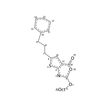 CCCCCCCCOc1nc2sc(CCCc3ccccc3)cc2c(=O)o1